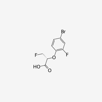 O=C(O)[C@H](CF)Oc1ccc(Br)cc1F